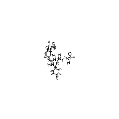 CC(=O)NCCNC(=O)N/C(=N\c1ccc(O[C@H](C)C(F)(F)F)cc1)NCc1ccc(Cl)cc1